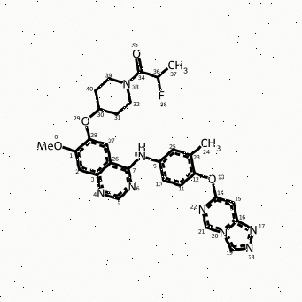 COc1cc2ncnc(Nc3ccc(Oc4cc5nncn5cn4)c(C)c3)c2cc1OC1CCN(C(=O)C(C)F)CC1